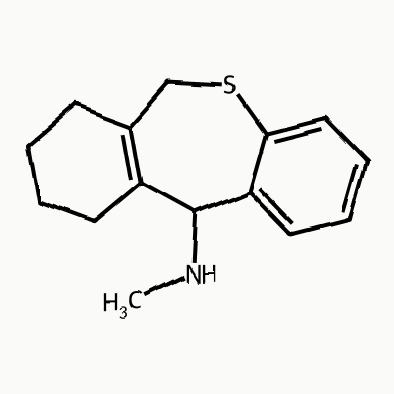 CNC1C2=C(CCCC2)CSc2ccccc21